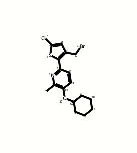 Cc1nc(-c2sc(Cl)cc2CBr)ccc1OC1CCCCC1